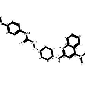 CSc1ccc(NC(=O)NC[C@H]2CC[C@@H](Nc3cc(N(C)C)c4ccccc4n3)CC2)cc1